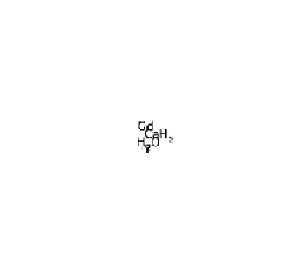 O.[CaH2].[Gd].[Y]